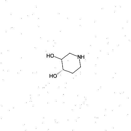 OC1CNCC[C@@H]1O